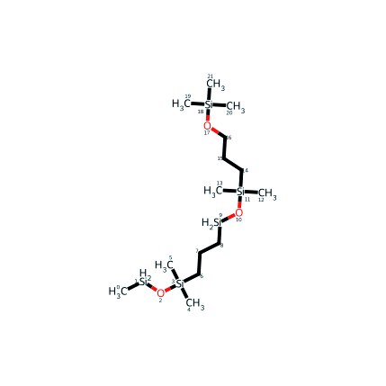 C[SiH2]O[Si](C)(C)CCC[SiH2]O[Si](C)(C)CCCO[Si](C)(C)C